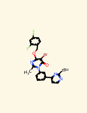 Cc1nc(OCc2ccc(F)cc2F)c(Br)c(=O)n1-c1cccc(-c2ccnc(C(C)(C)C)n2)c1